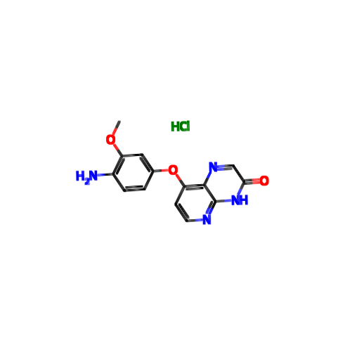 COc1cc(Oc2ccnc3[nH]c(=O)cnc23)ccc1N.Cl